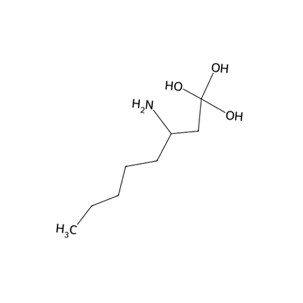 CCCCCC(N)CC(O)(O)O